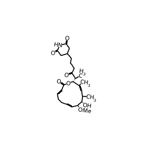 CO[C@H]1/C=C/CC/C=C/C(=O)O[C@H](C(C)C(=O)CCCC2CC(=O)NC(=O)C2)/C(C)=C\C(C)[C@@H]1O